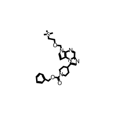 CS(C)(C)CCOCn1ccc2c1ncc1ncc(C3CCN(C(=O)OCc4ccccc4)CC3)n12